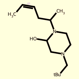 C/C=C\CC(C)N1CCN(CC(C)(C)C)CC1O